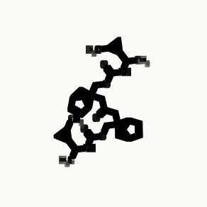 CC1CC1C(C)NC(=O)OCC1(CC(=O)CC2(COC(=O)NC(C)C3CC3C)CC3C=CC2C3)CC2C=CC1C2